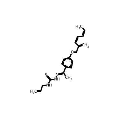 C=CCNC(=S)N/N=C(\C)c1ccc(OCC(=C)/C=C\C=C/C)cc1